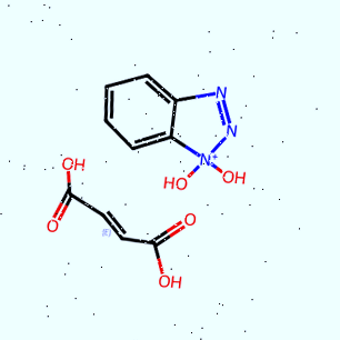 O=C(O)/C=C/C(=O)O.O[N+]1(O)N=Nc2ccccc21